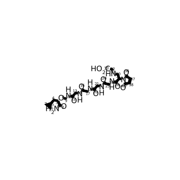 NC(=O)C(CC1CC1)OCNC(=O)CNC(=O)CNC(=O)CNC(=O)CNC(=O)C(CNCC(=O)O)N1C(=O)C=CC1=O